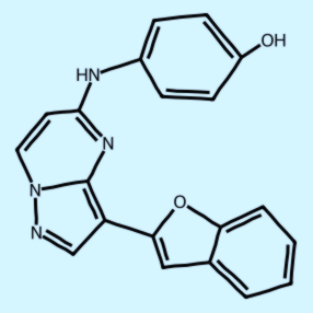 Oc1ccc(Nc2ccn3ncc(-c4cc5ccccc5o4)c3n2)cc1